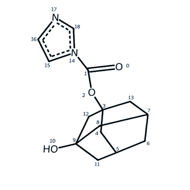 O=C(OC12CC3CC(CC(O)(C3)C1)C2)n1ccnc1